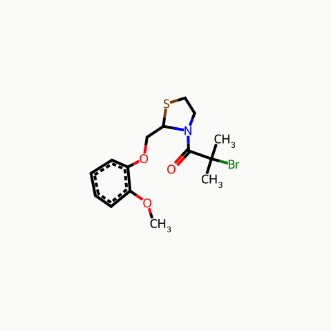 COc1ccccc1OCC1SCCN1C(=O)C(C)(C)Br